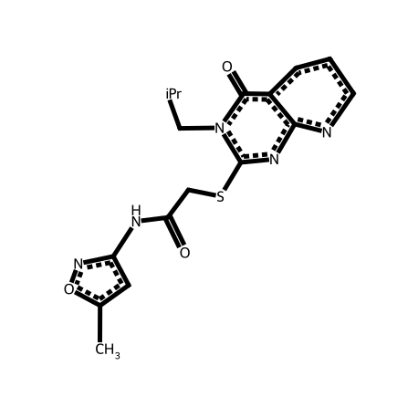 Cc1cc(NC(=O)CSc2nc3ncccc3c(=O)n2CC(C)C)no1